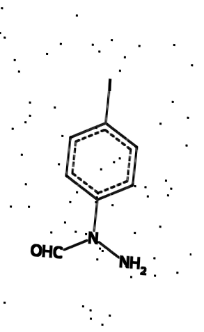 NN(C=O)c1ccc(I)cc1